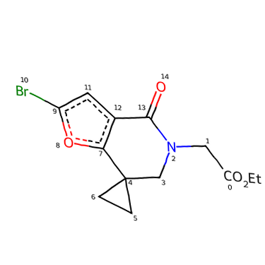 CCOC(=O)CN1CC2(CC2)c2oc(Br)cc2C1=O